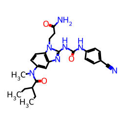 CCC(CC)C(=O)N(C)c1ccc2c(c1)nc(NC(=O)Nc1ccc(C#N)cc1)n2CCC(N)=O